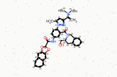 C=C(c1cc(C)n(-c2ccc(NC(=O)C3Oc4cc5ccccc5cc4O3)cc2C(=O)N2Cc3ccccc3C[C@H]2CO)n1)N(CCCC)CCCC